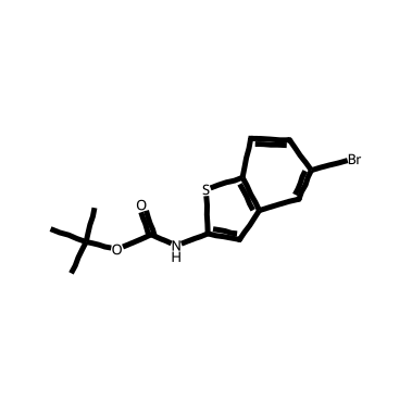 CC(C)(C)OC(=O)Nc1cc2cc(Br)ccc2s1